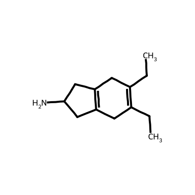 CCC1=C(CC)CC2=C(C1)CC(N)C2